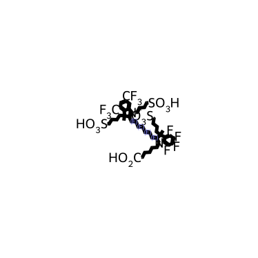 CC1(CCCCS(=O)(=O)O)C(/C=C/C=C/C=C/C=C2/N(CCCCCC(=O)O)c3c(F)c(F)c(F)c(F)c3C2(C)CCCCS(=O)(=O)O)=[N+](CCCCS(=O)(=O)O)c2cc(C(F)(F)F)cc(C(F)(F)F)c21